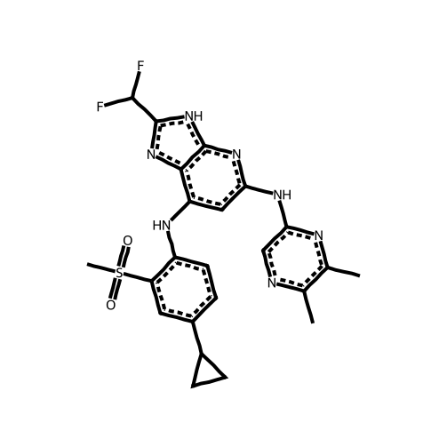 Cc1ncc(Nc2cc(Nc3ccc(C4CC4)cc3S(C)(=O)=O)c3nc(C(F)F)[nH]c3n2)nc1C